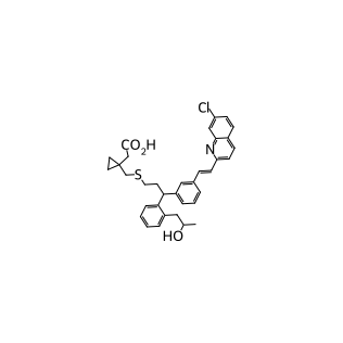 CC(O)Cc1ccccc1C(CCSCC1(CC(=O)O)CC1)c1cccc(C=Cc2ccc3ccc(Cl)cc3n2)c1